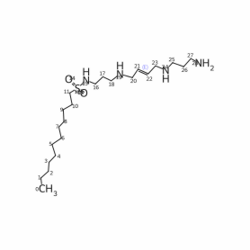 CCCCCCCCCCCCS(=O)(=O)NCCCNC/C=C/CNCCCN